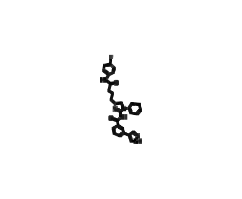 O=C(CCCc1cn(-c2ccccc2)c(NC(=O)c2cccc(-c3cn[nH]c3)c2)n1)Nc1ccc(F)cc1